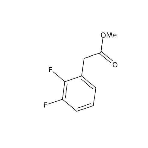 COC(=O)Cc1cccc(F)c1F